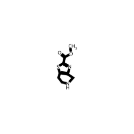 COC(=O)c1nc2c(s1)CCNC2